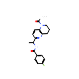 COC(=O)N1CCCc2nc(C(C)NC(=O)c3ccc(F)cc3)ccc21